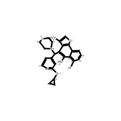 O=C(O)c1coc2c1c(C(c1ccnc(OC3CC3)c1)N1CCOCC1)c(O)c1c(F)cccc12